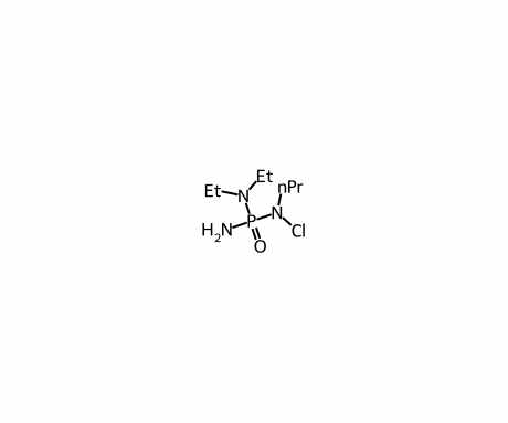 CCCN(Cl)P(N)(=O)N(CC)CC